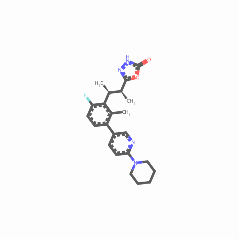 Cc1c(-c2ccc(N3CCCCC3)nc2)ccc(F)c1[C@@H](C)[C@H](C)c1n[nH]c(=O)o1